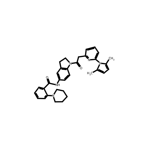 Cc1ccc(C)n1-c1cccc(CC(=O)N2CCc3cc(NC(=O)c4ccccc4N4CCCCC4)ccc32)n1